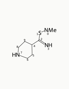 CNSC(=N)C1CCNCC1